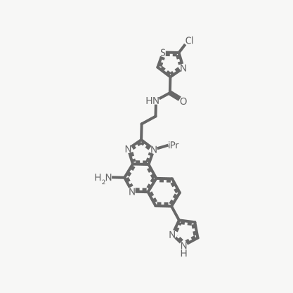 CC(C)n1c(CCNC(=O)c2csc(Cl)n2)nc2c(N)nc3cc(-c4cc[nH]n4)ccc3c21